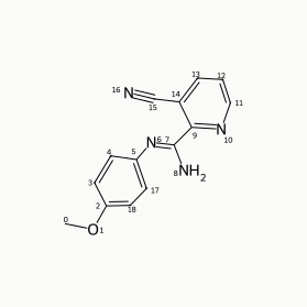 COc1ccc(/N=C(\N)c2ncccc2C#N)cc1